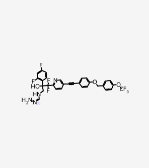 N/N=C\NCC(O)(c1ccc(F)cc1F)C(F)(F)c1ccc(C#Cc2ccc(OCc3ccc(OC(F)(F)F)cc3)cc2)cn1